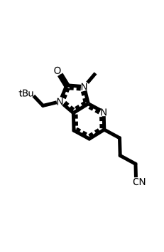 Cn1c(=O)n(CC(C)(C)C)c2ccc(CCCC#N)nc21